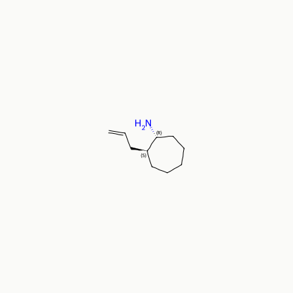 C=CC[C@@H]1CCCCC[C@H]1N